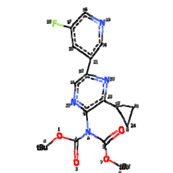 CC(C)(C)OC(=O)N(C(=O)OC(C)(C)C)c1ncc(-c2cncc(F)c2)nc1C1CC1